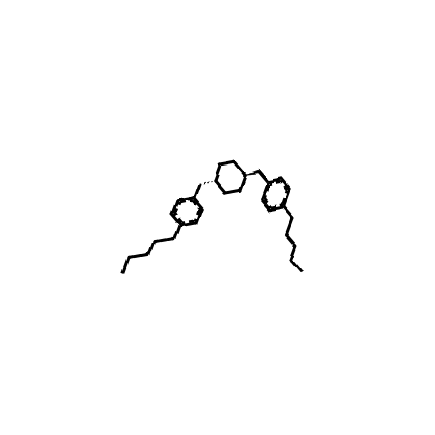 CCCCCc1ccc(C[C@H]2CC[C@H](Cc3ccc(CCCCC)cc3)CC2)cc1